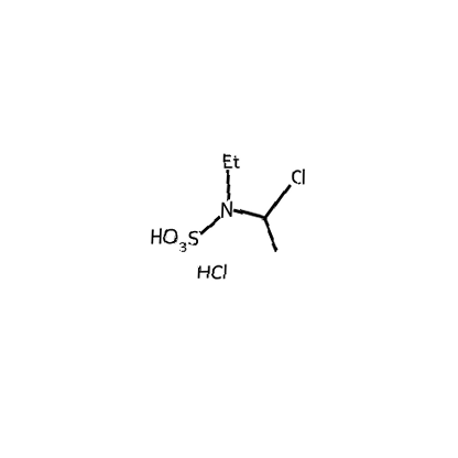 CCN(C(C)Cl)S(=O)(=O)O.Cl